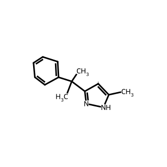 Cc1[c]c(C(C)(C)c2ccccc2)n[nH]1